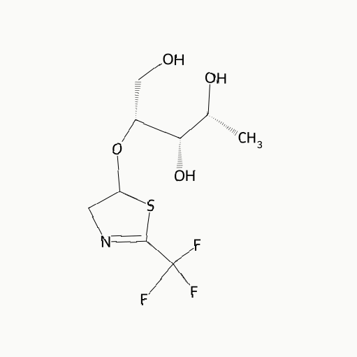 C[C@@H](O)[C@H](O)[C@@H](CO)OC1CN=C(C(F)(F)F)S1